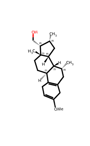 COC1=CCC2=C(C1)C[C@@H](C)[C@@H]1[C@@H]2CC[C@@]2(C)[C@@H]1C[C@@H](C)[C@H]2CO